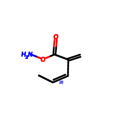 C=C(/C=C\C)C(=O)ON